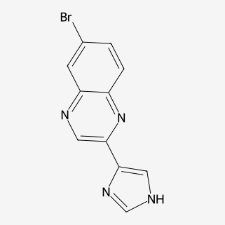 Brc1ccc2nc(-c3c[nH]cn3)cnc2c1